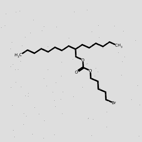 CCCCCCCCC(CCCCCC)COC(=O)OCCCCCBr